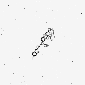 CC(O)CN(Oc1ccc(OCCOCCc2ccc(F)cc2F)cc1)C(C)C.Cl